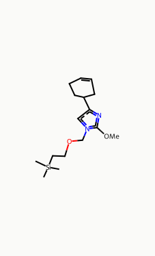 COc1nc(C2CC=CCC2)cn1COCC[Si](C)(C)C